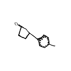 Cc1ccc(C2CCC(=O)C2)cc1